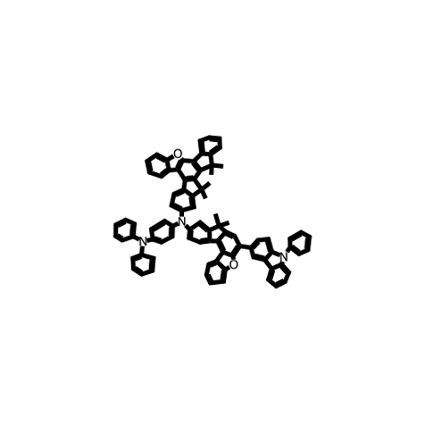 CC1(C)c2cc(N(c3ccc(N(c4ccccc4)c4ccccc4)cc3)c3ccc4c(c3)C(C)(C)c3c5c(c6oc7ccccc7c6c3-4)-c3ccccc3C5(C)C)ccc2-c2c1cc(-c1ccc3c(c1)c1ccccc1n3-c1ccccc1)c1oc3ccccc3c21